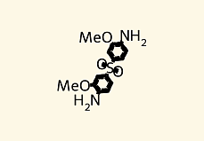 COc1cc(S(=O)(=O)c2ccc(N)c(OC)c2)ccc1N